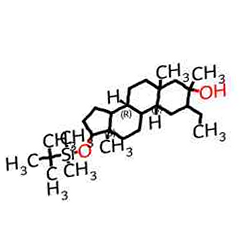 CCC1C[C@@H]2C3CC[C@]4(C)C(O[Si](C)(C)C(C)(C)C)CCC4[C@@H]3CCC2(C)CC1(C)O